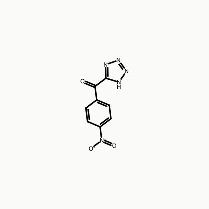 O=C(c1ccc([N+](=O)[O-])cc1)c1nnn[nH]1